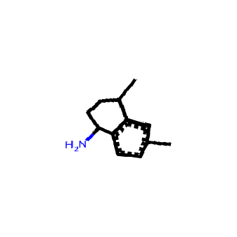 Cc1ccc2c(c1)C(C)CCC2N